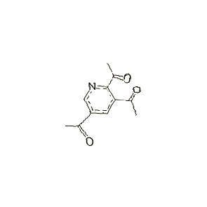 CC(=O)c1cnc(C(C)=O)c(C(C)=O)c1